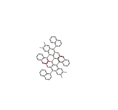 Cc1cc2c(-c3cccc4ccccc34)c3cc(C)c(C)c(-c4c(C)c(C)cc5c(-c6cccc7ccccc67)c6cc(C)c(C)cc6c(-c6cccc7ccccc67)c45)c3c(-c3cccc4ccccc34)c2cc1C